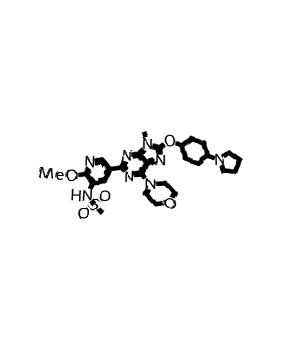 COc1ncc(-c2nc(N3CCOCC3)c3nc(OC4CCC(N5CCCC5)CC4)n(C)c3n2)cc1NS(C)(=O)=O